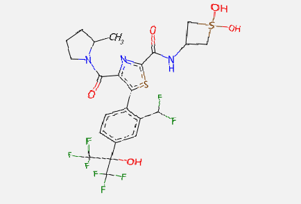 CC1CCCN1C(=O)c1nc(C(=O)NC2CS(O)(O)C2)sc1-c1ccc(C(O)(C(F)(F)F)C(F)(F)F)cc1C(F)F